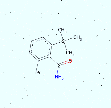 CC(C)c1cccc([Si](C)(C)C)c1C(N)=O